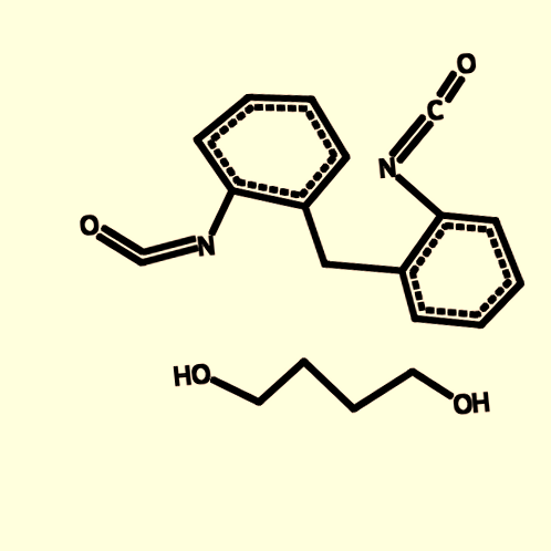 O=C=Nc1ccccc1Cc1ccccc1N=C=O.OCCCCO